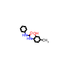 Cc1ccc(NC(=O)Nc2ccccc2)c(O)c1